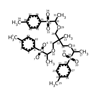 Cc1ccc(S(=O)(=O)C(C)OCC(C)(COC(C)S(=O)(=O)c2ccc(C)cc2)COC(C)S(=O)(=O)c2ccc(C)cc2)cc1